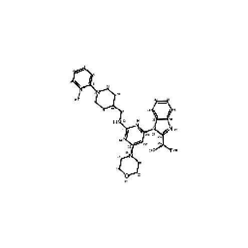 Fc1ccccc1N1CCC(CNc2nc(N3CCOCC3)cc(-n3c(C(F)F)nc4ccccc43)n2)CC1